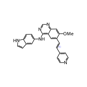 COc1cc2ncnc(Nc3ccc4[nH]ccc4c3)c2cc1/C=C/c1ccncc1